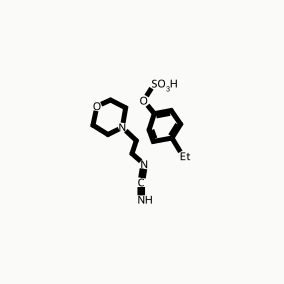 CCc1ccc(OS(=O)(=O)O)cc1.N=C=NCCN1CCOCC1